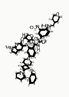 CC(C)(C)c1ccccc1[C@@H]1CCCN1C1CC2(CCN(c3ccc(C(=O)NS(=O)(=O)c4ccc(NCC5CCOCC5)c([N+](=O)[O-])c4)c(N4c5cc6cc[nH]c6nc5O[C@H]5COC[C@@H]54)c3)CC2)C1